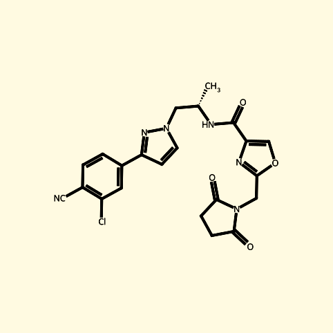 C[C@@H](Cn1ccc(-c2ccc(C#N)c(Cl)c2)n1)NC(=O)c1coc(CN2C(=O)CCC2=O)n1